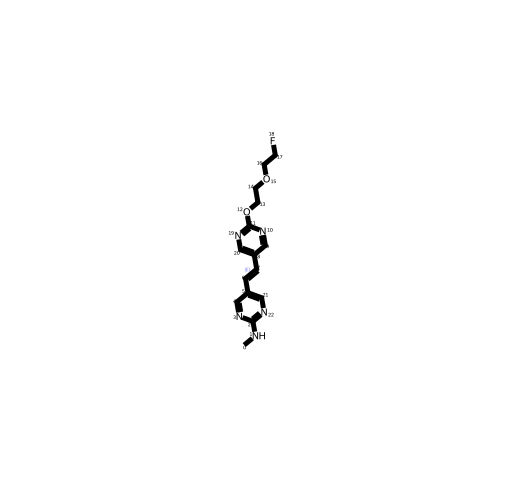 CNc1ncc(/C=C/c2cnc(OCCOCCF)nc2)cn1